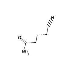 N#C[CH]CCC(N)=O